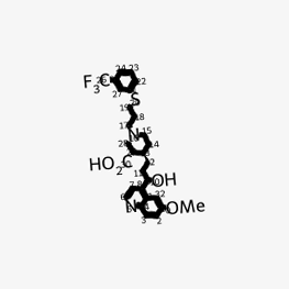 COc1ccc2nccc(C(O)CC[C@@H]3CCN(CCCSc4cccc(C(F)(F)F)c4)C[C@@H]3C(=O)O)c2c1